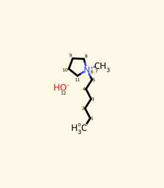 CCCCCC[N+]1(C)CCCC1.[OH-]